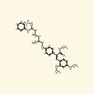 COC(=O)C(=Cc1ccc(OC)cc1OC)c1ccc(OCC(O)CNCC(OC)Oc2ccccc2)cc1